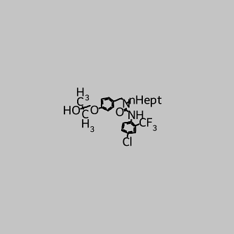 CCCCCCCN(Cc1ccc(OCC(C)(C)O)cc1)C(=O)Nc1ccc(Cl)cc1C(F)(F)F